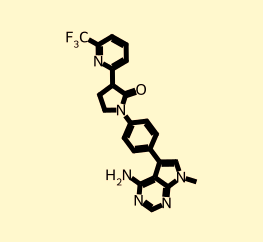 Cn1cc(-c2ccc(N3CCC(c4cccc(C(F)(F)F)n4)C3=O)cc2)c2c(N)ncnc21